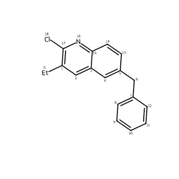 CCc1cc2cc(Cc3ccccc3)ccc2nc1Cl